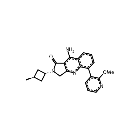 COc1ncccc1-c1cccc2c(N)c3c(nc12)CN([C@H]1C[C@H](C)C1)C3=O